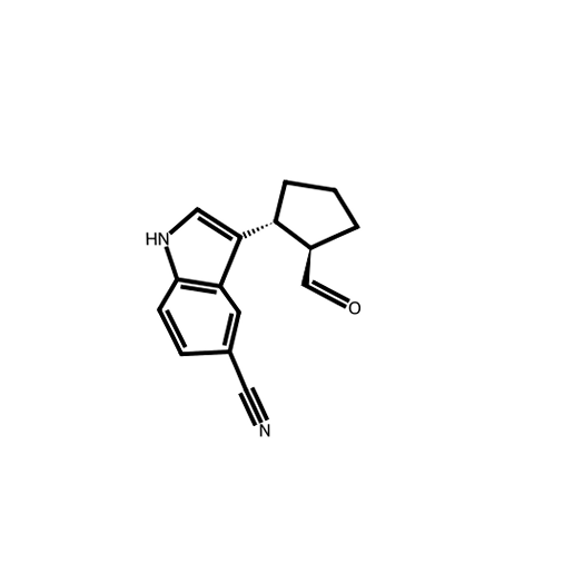 N#Cc1ccc2[nH]cc([C@@H]3CCC[C@H]3C=O)c2c1